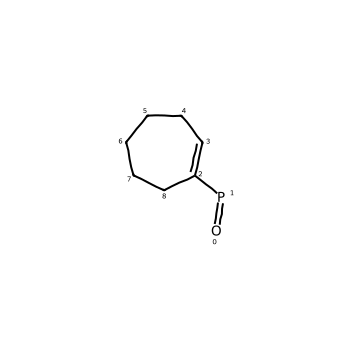 O=PC1=CCCCCC1